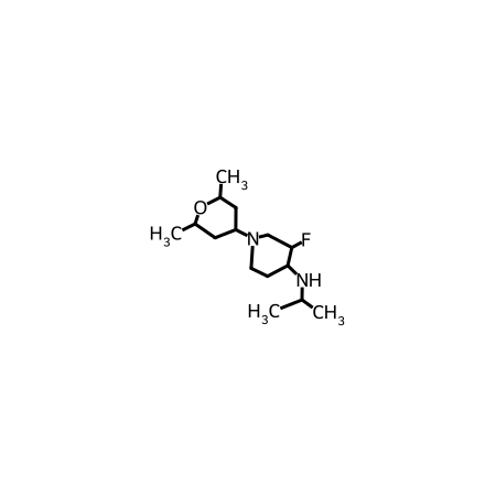 CC(C)NC1CCN(C2CC(C)OC(C)C2)CC1F